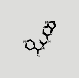 CC(=O)C(NC(=O)Nc1cnc2[nH]ccc2n1)C1CCNCC1